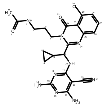 CC(=O)NCCCn1c(C(Nc2nc(N)nc(N)c2C#N)C2CC2)nc2cccc(Cl)c2c1=O